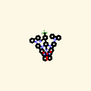 N#Cc1cc(C(F)(F)F)ccc1-c1cc(-n2c3cc(N4c5ccccc5C5C=CC=CC54)ccc3c3ccc(-n4c5ccccc5c5ccccc54)cc32)c(C#N)c(-n2c3cc(-n4c5ccccc5c5ccccc54)ccc3c3ccc(-n4c5ccccc5c5ccccc54)cc32)c1